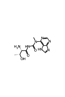 C[C@@H](O)[C@H](N)C(=O)NC(=O)N(C)c1ncnc2nc[nH]c12